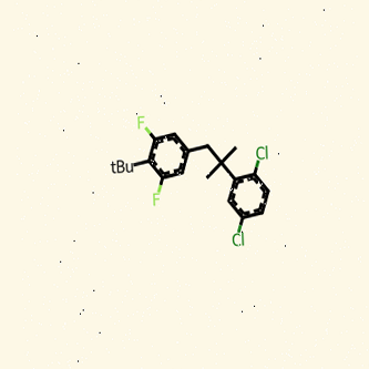 CC(C)(C)c1c(F)cc(CC(C)(C)c2cc(Cl)ccc2Cl)cc1F